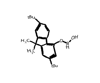 CC(C)(C)c1ccc2c(c1)C(C)(C)c1cc(C(C)(C)C)cc(OBO)c1-2